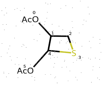 CC(=O)OC1CSC1OC(C)=O